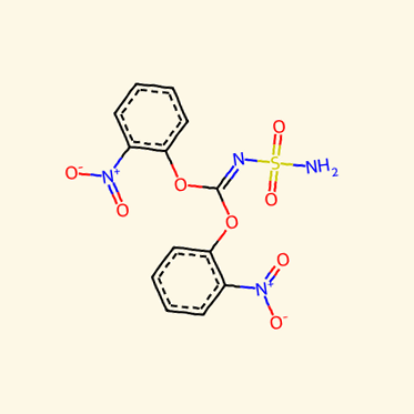 NS(=O)(=O)N=C(Oc1ccccc1[N+](=O)[O-])Oc1ccccc1[N+](=O)[O-]